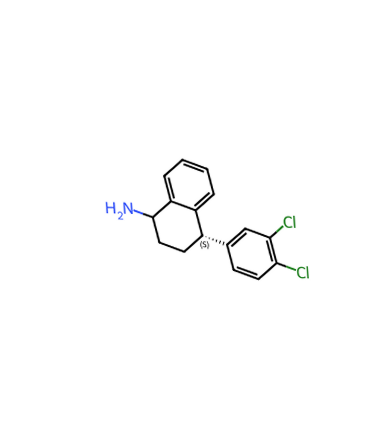 NC1CC[C@@H](c2ccc(Cl)c(Cl)c2)c2ccccc21